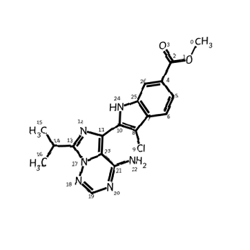 COC(=O)c1ccc2c(Cl)c(-c3nc(C(C)C)n4ncnc(N)c34)[nH]c2c1